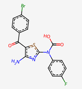 Nc1nc(N(C(=O)O)c2ccc(F)cc2)sc1C(=O)c1ccc(Br)cc1